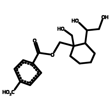 O=C(O)c1ccc(C(=O)OCC2(CO)CCCCC2C(O)CO)cc1